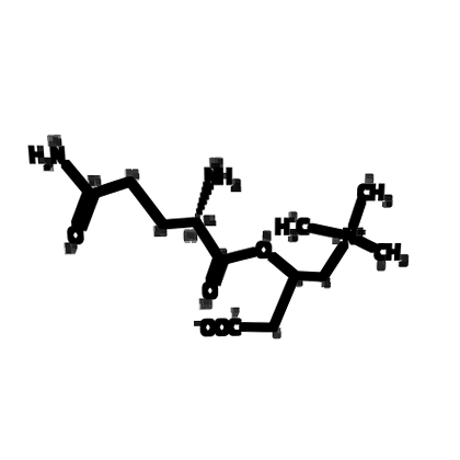 C[N+](C)(C)CC(CC(=O)[O-])OC(=O)[C@@H](N)CCC(N)=O